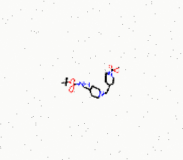 COC(=O)N1CCC(CN2CCC(CNC(=O)OC(C)(C)C)CC2)CC1